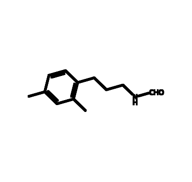 Cc1ccc(CCCNC=O)c(C)c1